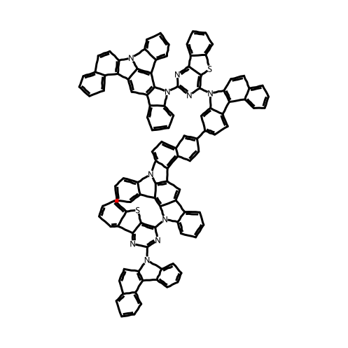 c1ccc2c(c1)ccc1c2c2ccccc2n1-c1nc(-n2c3ccccc3c3cc4c5c6ccc(-c7ccc8c9c%10ccccc%10ccc9n(-c9nc(-n%10c%11ccccc%11c%11cc%12c%13c%14ccccc%14ccc%13n%13c%14ccccc%14c(c%11%10)c%12%13)nc%10c9sc9ccccc9%10)c8c7)cc6ccc5n5c6ccccc6c(c32)c45)c2sc3ccccc3c2n1